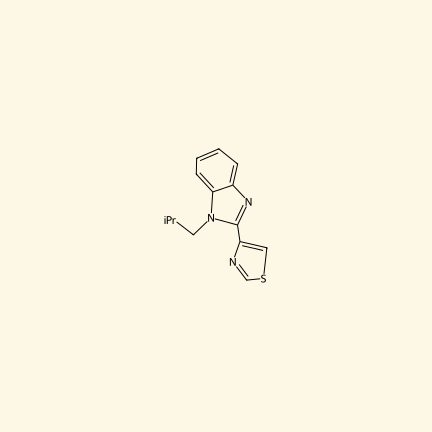 CC(C)Cn1c(-c2cscn2)nc2ccccc21